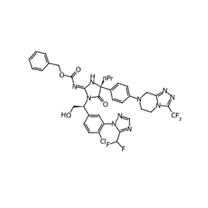 CCC[C@]1(c2ccc(N3CCn4c(nnc4C(F)(F)F)C3)cc2)N/C(=N\C(=O)OCc2ccccc2)N([C@H](CO)c2ccc(Cl)c(-n3ncnc3C(F)F)c2)C1=O